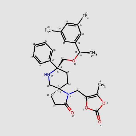 Cc1oc(=O)oc1CN1C(=O)CC[C@]12CC[C@@](CO[C@H](C)c1cc(C(F)(F)F)cc(C(F)(F)F)c1)(c1ccccc1)NC2